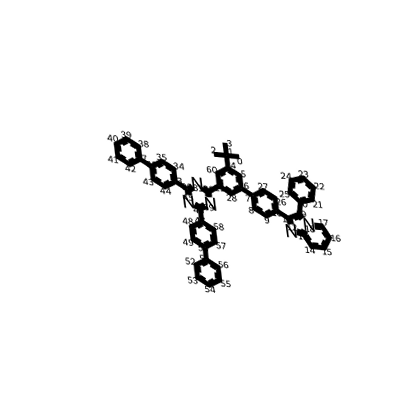 CC(C)(C)c1cc(-c2ccc(-c3nc4ccccn4c3-c3ccccc3)cc2)cc(-c2nc(-c3ccc(-c4ccccc4)cc3)nc(-c3ccc(-c4ccccc4)cc3)n2)c1